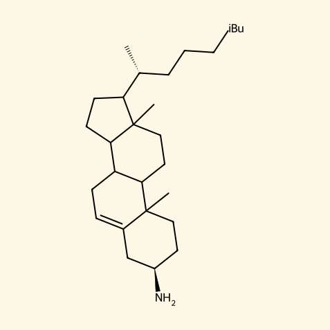 CCC(C)CCC[C@@H](C)C1CCC2C3CC=C4C[C@H](N)CCC4(C)C3CCC21C